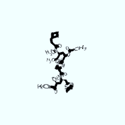 CC(=O)OC(CC(C(C)C)N(C)C(=O)CC1CCC1)c1nc(C(=O)N[C@@H](Cc2nccs2)C[C@H](C)C(=O)O)cs1